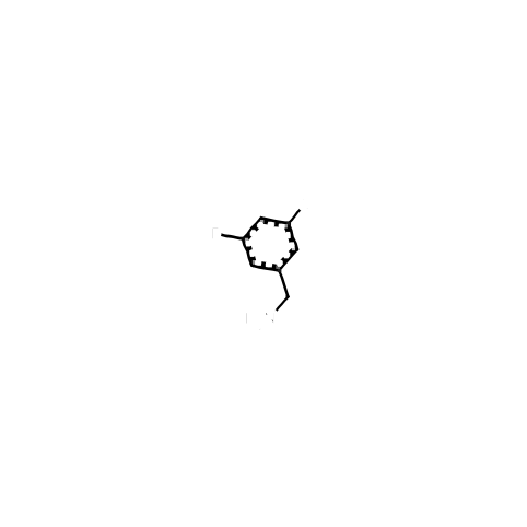 NCc1[c]c(F)cc(Cl)c1